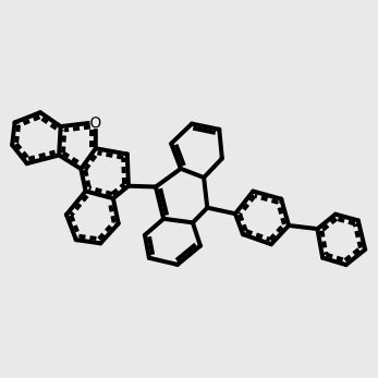 C1=CCC2C(=C1)C(c1cc3oc4ccccc4c3c3ccccc13)=C1C=CC=CC1C2c1ccc(-c2ccccc2)cc1